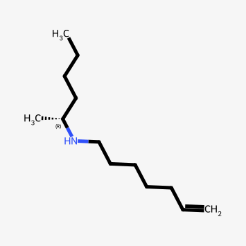 C=CCCCCCN[C@H](C)CCCC